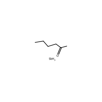 CCCCC(C)=O.[SbH3]